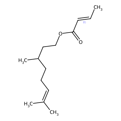 C/C=C/C(=O)OCCC(C)CCC=C(C)C